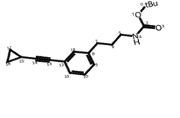 CC(C)(C)OC(=O)NCCCc1cccc(C#CC2CC2)c1